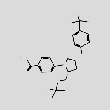 CC(F)(F)OC[C@@H]1C[C@@H](Oc2ccc(C(F)(F)F)cc2)CN1c1ccc(C(=O)O)cc1